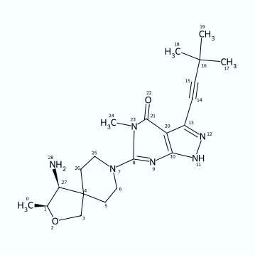 C[C@@H]1OCC2(CCN(c3nc4[nH]nc(C#CC(C)(C)C)c4c(=O)n3C)CC2)[C@@H]1N